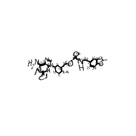 Nc1nc(Cl)nc2c1ncn2C1CCCC(COC(=O)NCc2ccc3c(c2)OCO3)C1